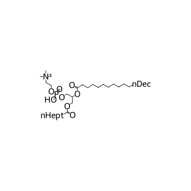 CCCCCCCCCCCCCCCCCCCCC(=O)OC(COC(=O)CCCCCCC)COP(=O)(O)OCC[N+](C)(C)C